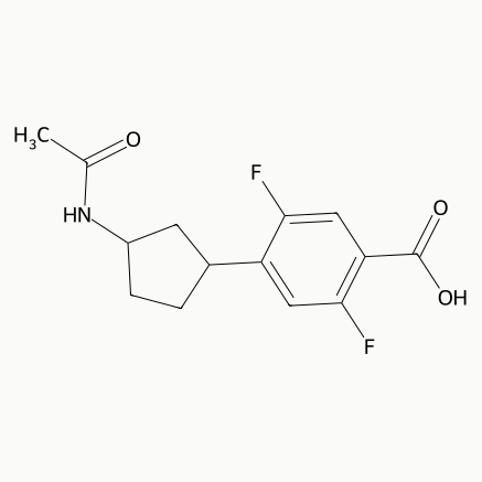 CC(=O)NC1CCC(c2cc(F)c(C(=O)O)cc2F)C1